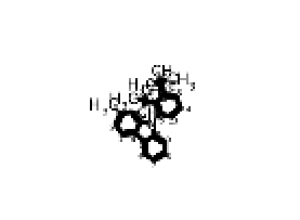 Cc1ccc2c3ccccc3n(-c3cccc(C(C)(C)C)c3C(C)(C)C)c2c1